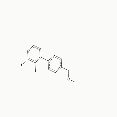 COCc1ccc(-c2cccc(F)c2F)cc1